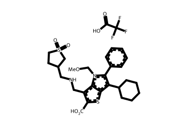 COCn1c(-c2ccccc2)c(C2CCCCC2)c2sc(C(=O)O)c(CNCC3CCS(=O)(=O)C3)c21.O=C(O)C(F)(F)F